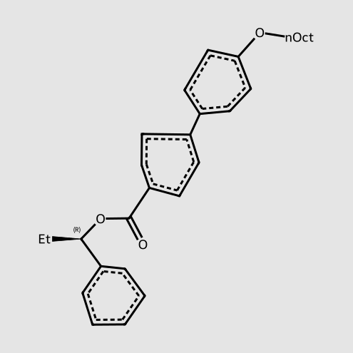 CCCCCCCCOc1ccc(-c2ccc(C(=O)O[C@H](CC)c3ccccc3)cc2)cc1